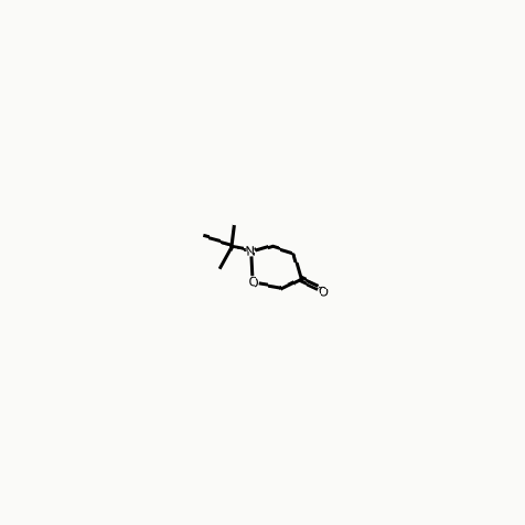 CC(C)(C)N1CCC(=O)CO1